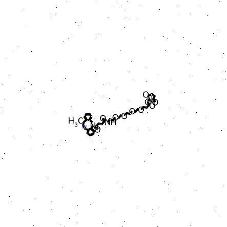 CC1/C=C\c2ccccc2N(C(=O)CCC(=O)NCCOCCOCCOCCOCCC(=O)ON2C(=O)CCC2=O)Cc2ccccc21